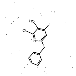 Oc1c(I)cc(Cc2ccccc2)nc1Cl